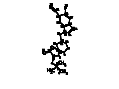 CC(C)(C)CN1C[C@@]2(CCC[C@H](Cn3cnc4cc(F)c(C#N)cc43)C2)OC1=O